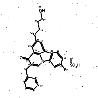 CS(=O)(=O)O.O=c1c(Cc2cccnc2)cn2c3cc(Br)ccc3c3cc(OCCCO)cc1c32